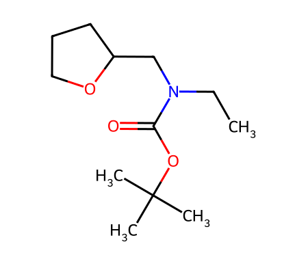 CCN(CC1CCCO1)C(=O)OC(C)(C)C